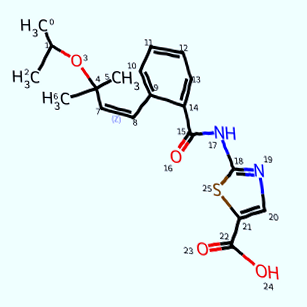 CC(C)OC(C)(C)/C=C\c1ccccc1C(=O)Nc1ncc(C(=O)O)s1